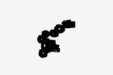 CC(C)(C)c1ccc(OCCOc2ccccc2C=C2SC(=S)N(Cc3ccccc3)C2=O)cc1